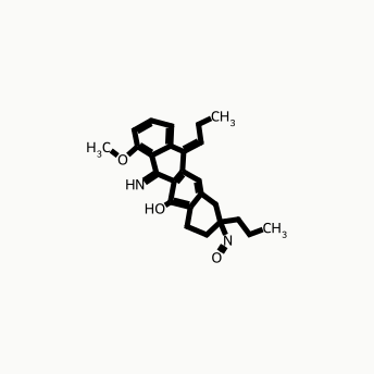 CC/C=C1\c2cccc(OC)c2C(=N)c2c1cc1c(c2O)CCC(CCC)(N=O)C1